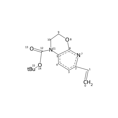 C=Cc1ccc2c(n1)OCCN2C(=O)OC(C)(C)C